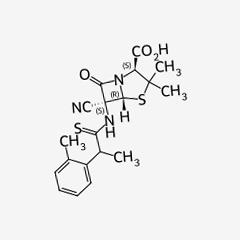 Cc1ccccc1C(C)C(=S)N[C@@]1(C#N)C(=O)N2[C@@H](C(=O)O)C(C)(C)S[C@@H]21